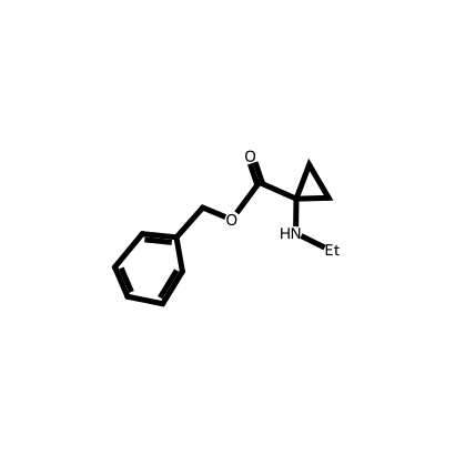 CCNC1(C(=O)OCc2ccccc2)CC1